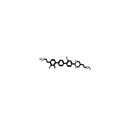 CCCc1ccc(-c2ccc(-c3ccc(C4OCC(CCC)CO4)cc3F)cc2)c(F)c1F